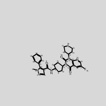 Cn1ncc(C(=O)NC2CCC(n3c(=O)c4cc(F)cnc4n(C4CCSCC4)c3=O)CC2)c1-c1ccccc1